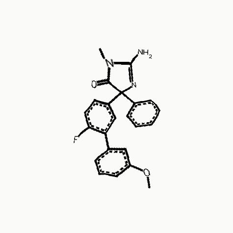 COc1cccc(-c2cc(C3(c4ccccc4)N=C(N)N(C)C3=O)ccc2F)c1